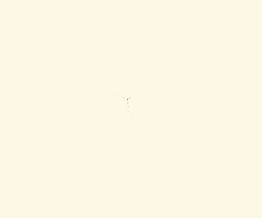 CS[C](Cl)Cl